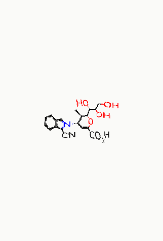 C[C@H]1[C@H]([C@H](O)[C@H](O)CO)OC(C(=O)O)=C[C@@H]1n1cc2ccccc2c1C#N